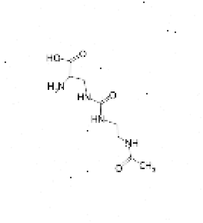 CC(=O)NCCNC(=O)NCC(N)C(=O)O